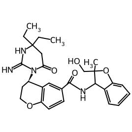 CCC1(CC)CC(=O)N([C@@H]2CCOc3ccc(C(=O)NC4c5ccccc5OC4(C)CO)cc32)C(=N)N1